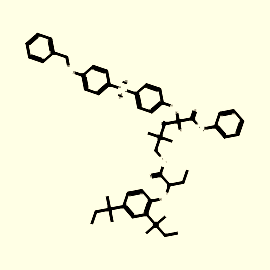 CCC(Oc1ccc(C(C)(C)CC)cc1C(C)(C)CC)C(=O)NCC(C)(C)C(=O)C(Cl)(Oc1ccc(S(=O)(=O)c2ccc(OCc3ccccc3)cc2)cc1)C(=O)Nc1ccccc1